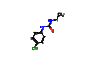 [CH2]CNC(=O)Nc1ccc(Cl)cc1